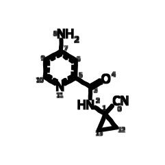 N#CC1(NC(=O)c2cc(N)ccn2)CC1